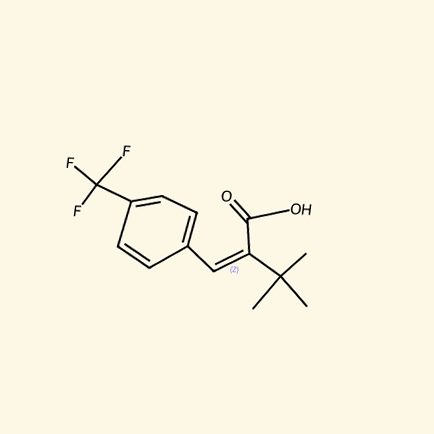 CC(C)(C)/C(=C/c1ccc(C(F)(F)F)cc1)C(=O)O